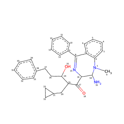 CN1c2ccccc2C(c2ccccc2)=NC(C(=O)C(CC2CC2)C(O)CCc2ccccc2)C1N